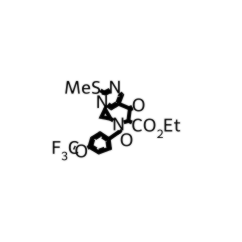 CCOC(=O)C(C(=O)c1cnc(SC)nc1)N(C(=O)c1ccc(OC(F)(F)F)cc1)C1CC1